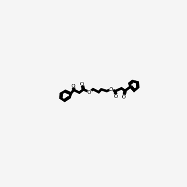 O=C(CC(=O)c1ccccc1)OCCCCOC(=O)CC(=O)c1ccccc1